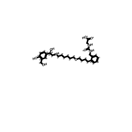 O=C(O)CNC(=O)NCc1ccccc1CCCCOCCCCCCNC[C@H](O)c1ccc(O)c(CO)c1